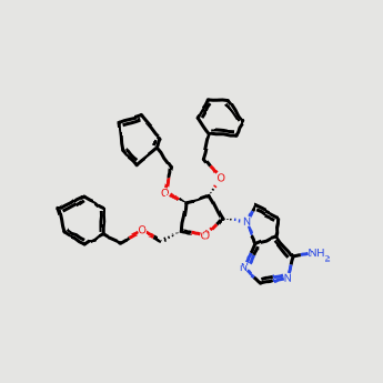 Nc1ncnc2c1ccn2[C@@H]1O[C@H](COCc2ccccc2)[C@@H](OCc2ccccc2)[C@@H]1OCc1ccccc1